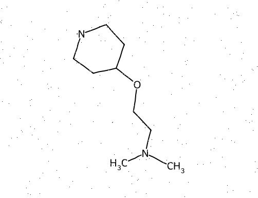 CN(C)CCOC1CC[N]CC1